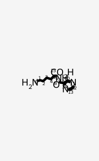 NCCCC[C@H](NC(=O)c1cnccn1)C(=O)O